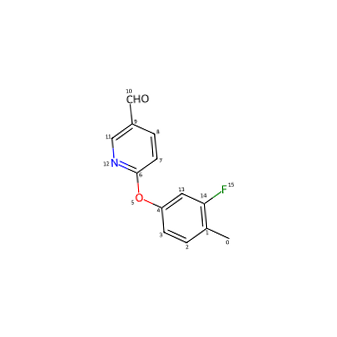 Cc1ccc(Oc2ccc(C=O)cn2)cc1F